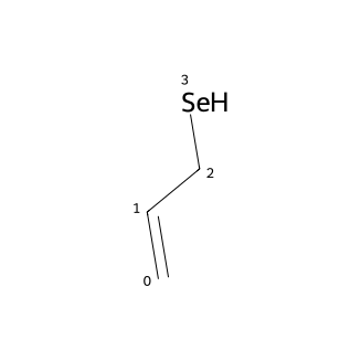 C=CC[SeH]